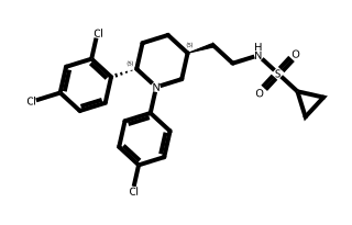 O=S(=O)(NCC[C@@H]1CC[C@@H](c2ccc(Cl)cc2Cl)N(c2ccc(Cl)cc2)C1)C1CC1